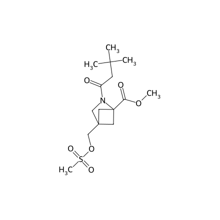 COC(=O)C12CC(COS(C)(=O)=O)(CN1C(=O)CC(C)(C)C)C2